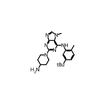 Cc1ccc(C(C)(C)C)cc1Nc1nc(N2CCC(N)CC2)nc2ncn(C)c12